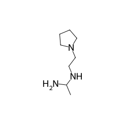 CC(N)NCCN1CCCC1